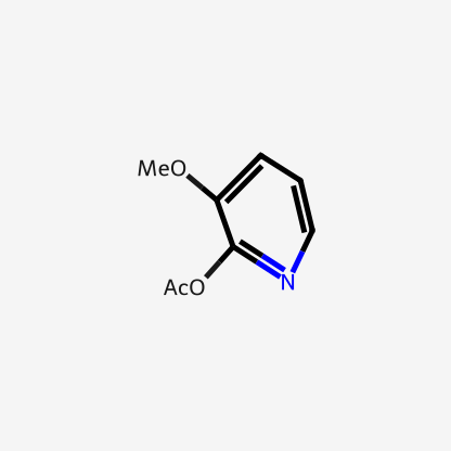 COc1cccnc1OC(C)=O